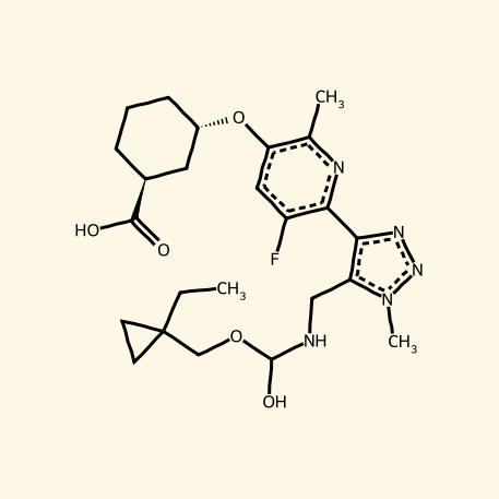 CCC1(COC(O)NCc2c(-c3nc(C)c(O[C@H]4CCC[C@H](C(=O)O)C4)cc3F)nnn2C)CC1